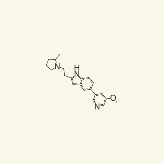 COc1cncc(-c2ccc3[nH]c(CCN4CCCC4C)cc3c2)c1